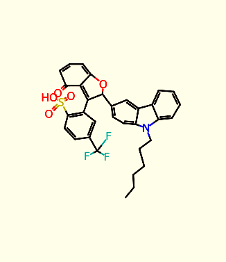 CCCCCCn1c2ccccc2c2cc(C3OC4=CC=CC(=O)C4=C3c3cc(C(F)(F)F)ccc3S(=O)(=O)O)ccc21